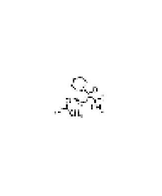 CC(C)OC(=O)[C@@H]1CCCCN1S(=O)(=O)C(C)C